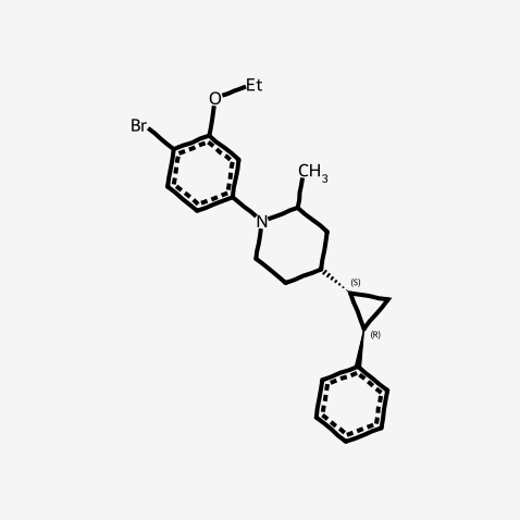 CCOc1cc(N2CCC([C@@H]3C[C@H]3c3ccccc3)CC2C)ccc1Br